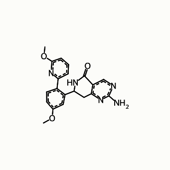 COc1ccc(-c2cccc(OC)n2)c(C2Cc3nc(N)ncc3C(=O)N2)c1